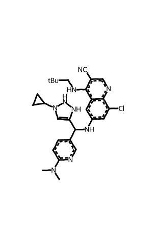 CN(C)c1ccc(C(Nc2cc(Cl)c3ncc(C#N)c(NCC(C)(C)C)c3c2)C2=CN(C3CC3)NN2)cn1